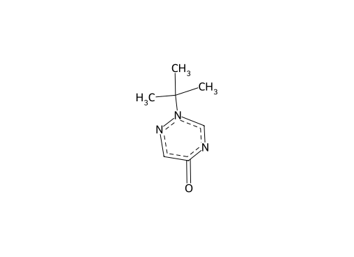 CC(C)(C)n1cnc(=O)cn1